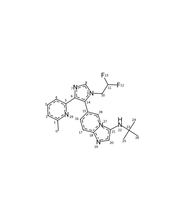 Cc1cccc(-c2ncn(CC(F)F)c2-c2ccc3ncc(NC(C)(C)C)n3c2)n1